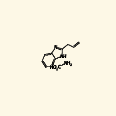 C=CCc1nc2ccccc2[nH]1.NC(=O)O